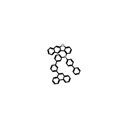 c1ccc(-c2ccc(N(c3cccc(-c4cccc(-c5cc6ccccc6c6ccccc56)c4)c3)c3cccc4oc5cc6ccccc6cc5c34)cc2)cc1